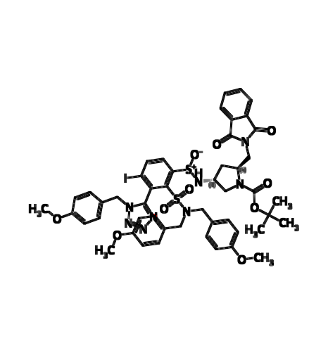 COc1ccc(CN(Cc2ccc(OC)cc2)S(=O)(=O)c2c([S+]([O-])N[C@@H]3C[C@@H](CN4C(=O)c5ccccc5C4=O)N(C(=O)OC(C)(C)C)C3)ccc(I)c2-c2nnnn2Cc2ccc(OC)cc2)cc1